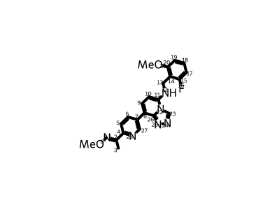 CO/N=C(\C)c1ccc(-c2ccc(NCc3c(F)cccc3OC)n3cnnc23)cn1